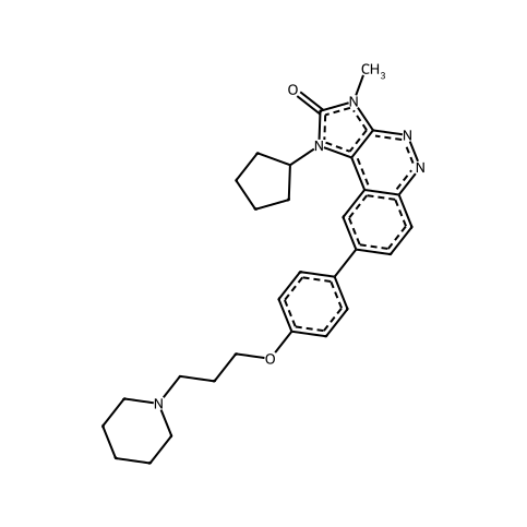 Cn1c(=O)n(C2CCCC2)c2c3cc(-c4ccc(OCCCN5CCCCC5)cc4)ccc3nnc21